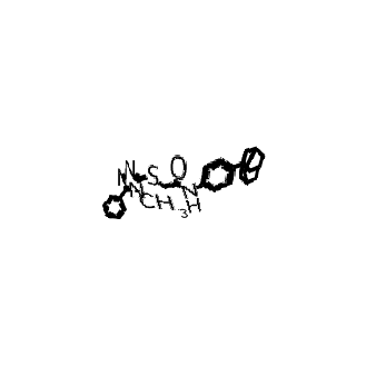 Cn1c(SCC(=O)Nc2ccc(C34CC5CC(CC(C5)C3)C4)cc2)nnc1-c1ccccc1